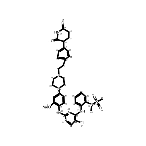 COc1cc(N2CCN(CCc3ccc(C4CCC(=O)NC4=O)cc3)CC2)ccc1Nc1ncc(Cl)c(Nc2ccccc2N(C)S(C)(=O)=O)n1